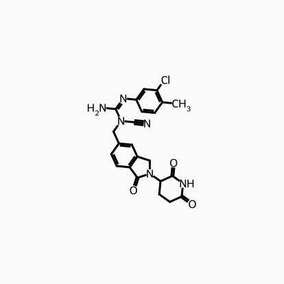 Cc1ccc(/N=C(/N)N(C#N)Cc2ccc3c(c2)CN(C2CCC(=O)NC2=O)C3=O)cc1Cl